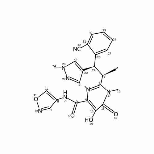 C[C@@H](c1nc(C(=O)Nc2cnoc2)c(O)c(=O)n1C)[C@@H](c1cnn(C)c1)c1ccccc1C#N